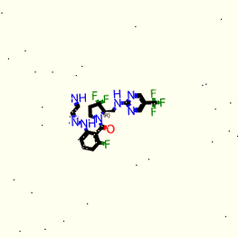 N=C/C=N\NC1=CCCC(F)=C1C(=O)N1CCC(F)(F)[C@H]1CNc1ncc(C(F)(F)F)cn1